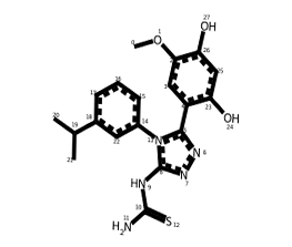 COc1cc(-c2nnc(NC(N)=S)n2-c2cccc(C(C)C)c2)c(O)cc1O